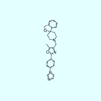 Cc1oc(-c2ccc(-n3ccnc3)cc2)nc1CN1CCC2(CC1)OCc1ccccc12